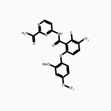 COc1cc(OC(F)(F)F)ccc1Oc1ccc(C(F)(F)F)c(F)c1C(=O)Nc1ccnc(C(N)=O)n1